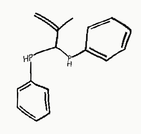 C=C(C)C(Pc1ccccc1)Pc1ccccc1